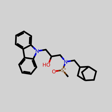 C[S+]([O-])N(CC(O)Cn1c2ccccc2c2ccccc21)CC1CC2CCC1C2